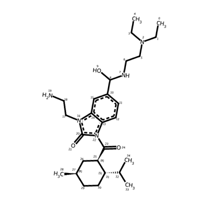 CCN(CC)CCNC(O)c1ccc2c(c1)n(CCN)c(=O)n2C(=O)[C@@H]1C[C@H](C)CC[C@H]1C(C)C